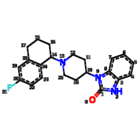 O=c1[nH]c2ccccc2n1C1CCN(C2CCCc3cc(F)ccc32)CC1